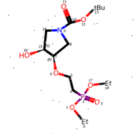 CCOP(=O)(CCO[C@@H]1CN(C(=O)OC(C)(C)C)C[C@@H]1O)OCC